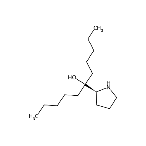 CCCCCC(O)(CCCCC)[C@@H]1CCCN1